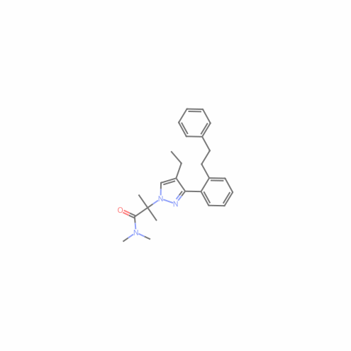 CCc1cn(C(C)(C)C(=O)N(C)C)nc1-c1ccccc1CCc1ccccc1